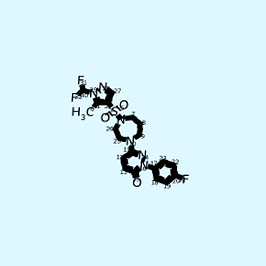 Cc1c(S(=O)(=O)N2CCCN(c3ccc(=O)n(-c4ccc(F)cc4)n3)CC2)cnn1C(F)F